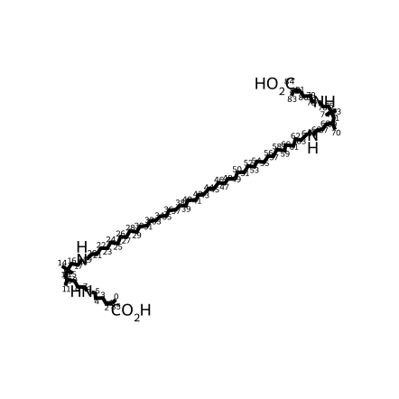 CC(=CCCCNCCCC(C)CC(C)(C)CCNCCCCCCCCCCCCCCCCCCCCCCCCCCCCCCCCCCCCCCCCCCCCCCNCCCC(C)CC(C)(C)CCNCCCC=C(C)C(=O)O)C(=O)O